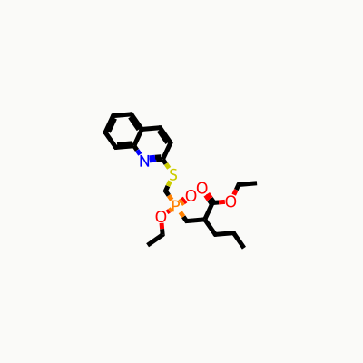 CCCC(CP(=O)(CSc1ccc2ccccc2n1)OCC)C(=O)OCC